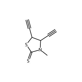 C#CC1SC(=S)N(C)C1C#C